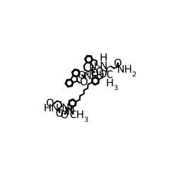 C[C@@H](OCc1ccc(CCCCCCc2ccc3c(c2)n(C)c(=O)n3C2CCC(=O)NC2=O)cc1)[C@H](CCC(N)=O)NC(=O)[C@@H]1Cc2cccc3c2N1C(=O)[C@@H](NC(=O)OCC1c2ccccc2-c2ccccc21)CC3